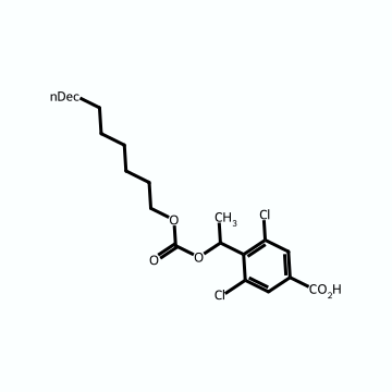 CCCCCCCCCCCCCCCCOC(=O)OC(C)c1c(Cl)cc(C(=O)O)cc1Cl